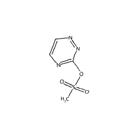 CS(=O)(=O)Oc1nccnn1